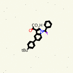 CC(C)(C)c1ccc(-c2ccc3c(c2)c(C(=O)C(=O)O)cn3C(I)c2ccccc2)cc1